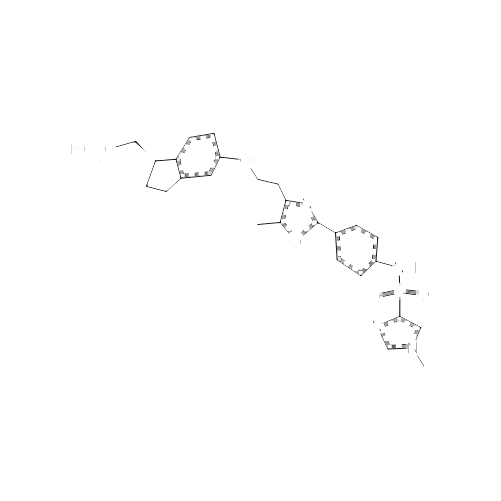 Cc1oc(-c2ccc(NS(=O)(=O)c3cn(C)cn3)cc2)nc1CCOc1ccc2c(c1)CC[C@H]2CC(=O)O